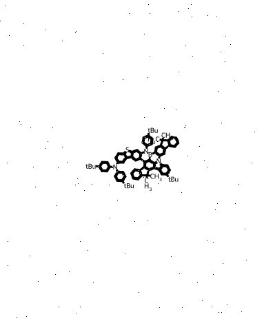 CC(C)(C)c1ccc(N2B3c4cc5c(cc4-n4c6ccc(C(C)(C)C)cc6c6c7c(c(c3c64)-c3cc4c(cc32)sc2ccc(N(c3ccc(C(C)(C)C)cc3)c3ccc(C(C)(C)C)cc3)cc24)-c2ccccc2C7(C)C)-c2ccccc2C5(C)C)cc1